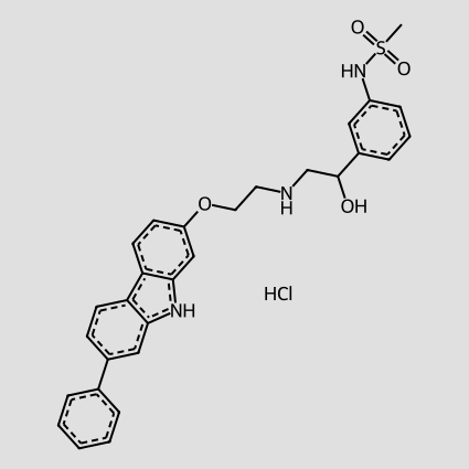 CS(=O)(=O)Nc1cccc(C(O)CNCCOc2ccc3c(c2)[nH]c2cc(-c4ccccc4)ccc23)c1.Cl